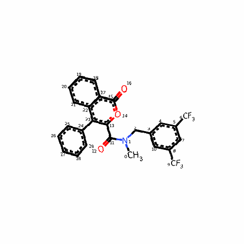 CN(Cc1cc(C(F)(F)F)cc(C(F)(F)F)c1)C(=O)c1oc(=O)c2ccccc2c1-c1ccccc1